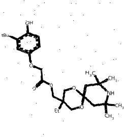 CCC1(COC(=O)COc2ccc(O)c(C(C)(C)C)c2)COC2(CC(C)(C)NC(C)(C)C2)OC1